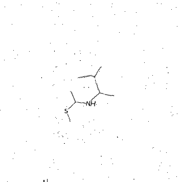 CSC(C)NC(C)C(C)C